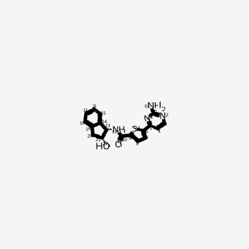 Nc1nccc(-c2ccc(C(=O)N[C@H]3c4ccccc4C[C@H]3O)s2)n1